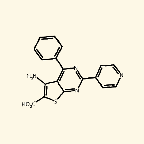 Nc1c(C(=O)O)sc2nc(-c3ccncc3)nc(-c3ccccc3)c12